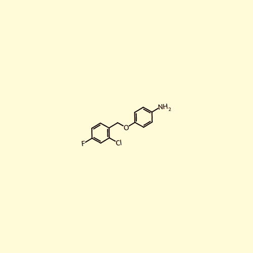 Nc1ccc(OCc2ccc(F)cc2Cl)cc1